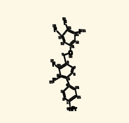 CCCc1ccc(-c2ccc(COc3cc(F)c(F)c(F)c3)c(F)c2F)cc1